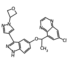 CC(Oc1ccc2[nH]nc(-c3cnn(C4COC4)c3)c2c1)c1cc(Cl)cc2nccnc12